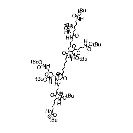 CC(C)(C)OC(=O)NCCCC[C@H](NC(=O)OC(C)(C)C)C(=O)NCCCC[C@H](NC(=O)[C@H](CCCCNC(=O)OC(C)(C)C)NC(=O)OC(C)(C)C)C(=O)NCCCCCCNC(=O)[C@@H](CCCCNC(=O)[C@H](CCCCNC(=O)OC(C)(C)C)NC(=O)OC(C)(C)C)[C@@H](NC(=O)OC(C)(C)C)C(=O)CCCNC(=O)OC(C)(C)C